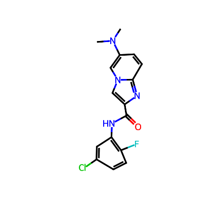 CN(C)c1ccc2nc(C(=O)Nc3cc(Cl)ccc3F)cn2c1